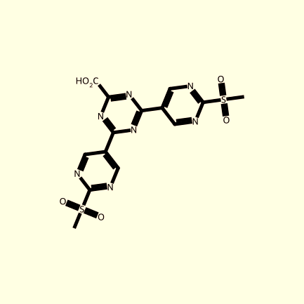 CS(=O)(=O)c1ncc(-c2nc(C(=O)O)nc(-c3cnc(S(C)(=O)=O)nc3)n2)cn1